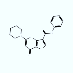 O=C(Nc1ccccc1)c1csc2c(=O)cc(N3CCCCC3)oc12